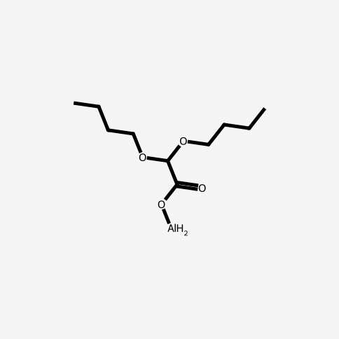 CCCCOC(OCCCC)C(=O)[O][AlH2]